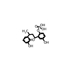 CC(CC(O)c1cc(O)ccc1OP(=O)(O)O)c1cccc(O)c1